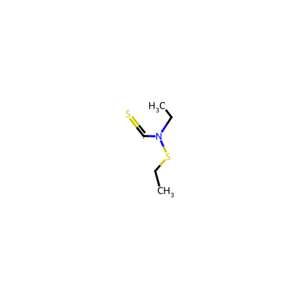 CCSN([C]=S)CC